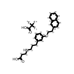 O=C(O)C(F)(F)F.O=C(O)CCNCCCc1cccc(OCCc2ccc3ccccc3c2)c1